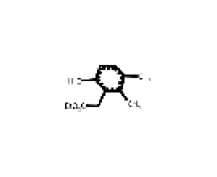 CCOC(=O)Cc1c(C)ccc(C)c1C